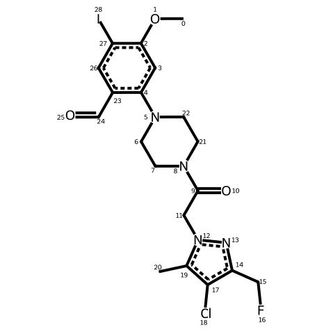 COc1cc(N2CCN(C(=O)Cn3nc(CF)c(Cl)c3C)CC2)c(C=O)cc1I